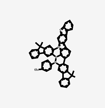 CC(C)(C)c1ccc(N2B3c4cc5c(cc4-n4c6cc7sc8ccccc8c7cc6c6ccc(c3c64)-c3cc4c(cc32)-c2ccccc2C4(C)C)C(C)(C)c2ccccc2-5)cc1